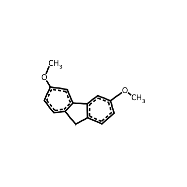 COc1ccc2c(c1)-c1cc(OC)ccc1[CH]2